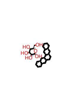 OC[C@H]1O[C@H](O)[C@H](O)[C@@H](O)[C@@H]1O.c1ccc2cc3c(ccc4cc5ccccc5cc43)cc2c1